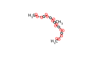 C=CC(=O)OCCCOc1ccc(C(=O)OCc2ccc(C(=O)Oc3ccc(OC(=O)c4ccc(COC(=O)c5ccc(OCCCOC(=O)C=C)cc5)cc4)c(C)c3)cc2)cc1